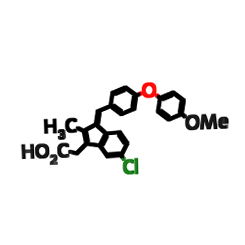 COc1ccc(Oc2ccc(/C=C3/C(C)=C(CC(=O)O)c4cc(Cl)ccc43)cc2)cc1